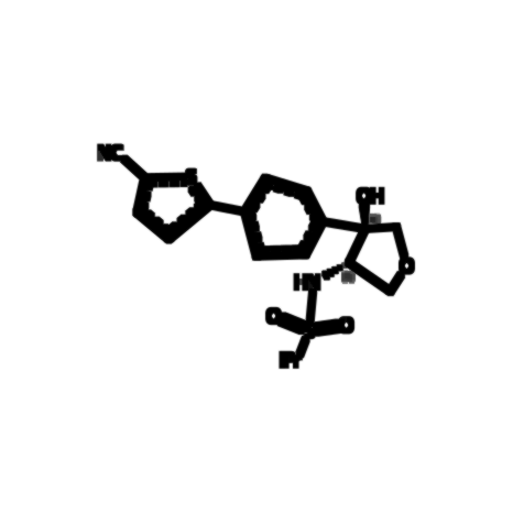 CC(C)S(=O)(=O)N[C@H]1COC[C@@]1(O)c1ccc(-c2ccc(C#N)s2)cc1